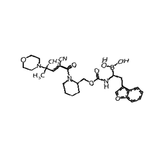 CC(C)(C=C(C#N)C(=O)N1CCCC[C@@H]1COC(=O)NC(Cc1coc2ccccc12)B(O)O)N1CCOCC1